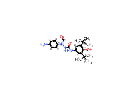 CC(C)(C)c1cc(NC(=O)NN(C=O)c2ccc(N)cc2)cc(C(C)(C)C)c1O